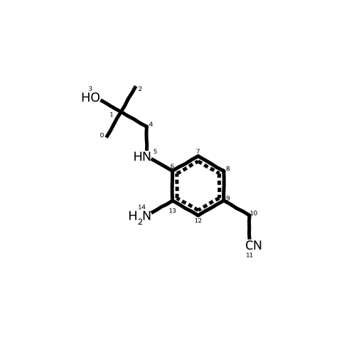 CC(C)(O)CNc1ccc(CC#N)cc1N